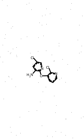 Nc1cc(Cl)cnc1Oc1cccnc1Cl